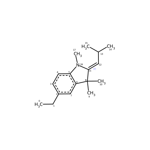 CCc1ccc2c(c1)C(C)(C)/C(=C/C(C)C)N2C